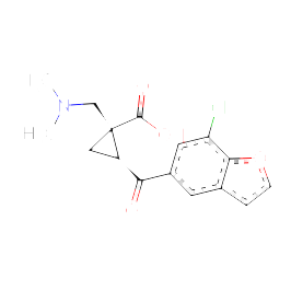 CN(C)C[C@]1(C(=O)O)C[C@@H]1C(=O)c1cc(Cl)c2occc2c1